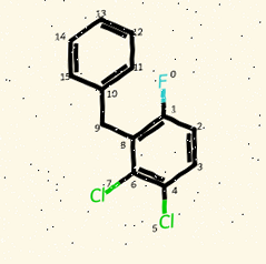 Fc1ccc(Cl)c(Cl)c1Cc1ccccc1